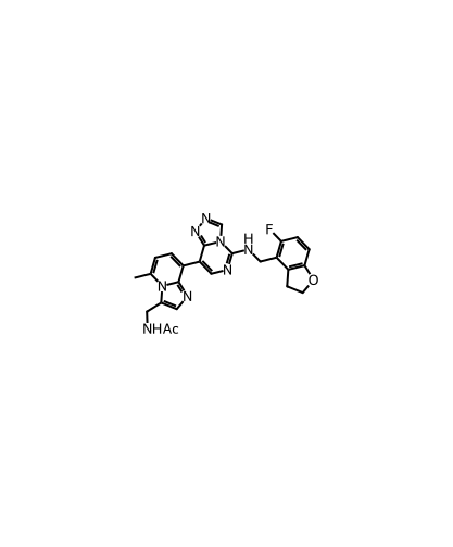 CC(=O)NCc1cnc2c(-c3cnc(NCc4c(F)ccc5c4CCO5)n4cnnc34)ccc(C)n12